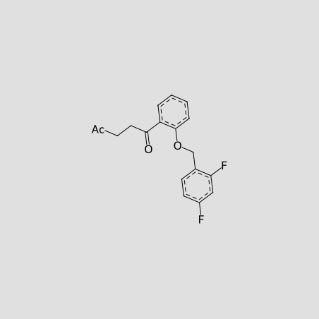 CC(=O)CCC(=O)c1ccccc1OCc1ccc(F)cc1F